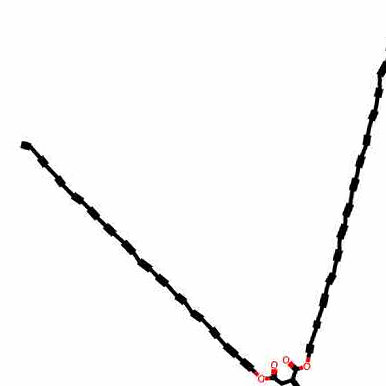 C#CC#CC#CC#CC#CC#CC#CC#CC#CC#CC#CC#CC#CC#COC(=O)CC(=C)C(=O)OC#CC#CC#CC#CC#CC#CC#CC#CC#CC#CC#CC#CC#CC#C